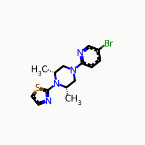 C[C@@H]1CN(c2ccc(Br)cn2)C[C@H](C)N1c1nccs1